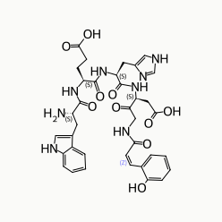 N[C@@H](Cc1c[nH]c2ccccc12)C(=O)N[C@@H](CCC(=O)O)C(=O)N[C@@H](Cc1c[nH]cn1)C(=O)N[C@@H](CC(=O)O)C(=O)CNC(=O)/C=C\c1ccccc1O